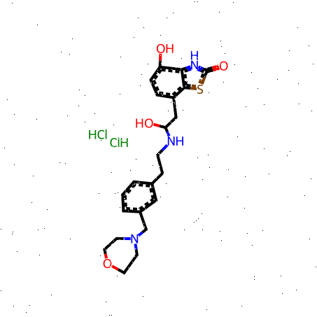 Cl.Cl.O=c1[nH]c2c(O)ccc(CC(O)NCCc3cccc(CN4CCOCC4)c3)c2s1